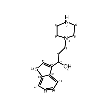 OC(CCN1CCNCC1)c1csc2ccccc12